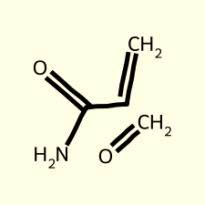 C=CC(N)=O.C=O